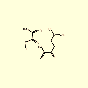 C=C(C)C(=O)OC.C=C(CCN(C)C)C(=O)O